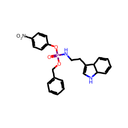 O=[N+]([O-])c1ccc(OP(=O)(NCCC2=CNC3C=CC=CC23)OCc2ccccc2)cc1